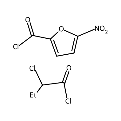 CCC(Cl)C(=O)Cl.O=C(Cl)c1ccc([N+](=O)[O-])o1